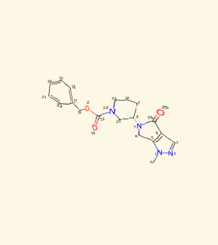 Cn1ncc2c1CN([C@H]1CCCN(C(=O)OCc3ccccc3)C1)C2=O